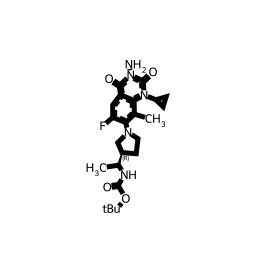 Cc1c(N2CC[C@@H](C(C)NC(=O)OC(C)(C)C)C2)c(F)cc2c(=O)n(N)c(=O)n(C3CC3)c12